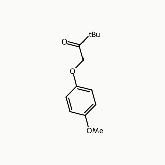 COc1ccc(OCC(=O)C(C)(C)C)cc1